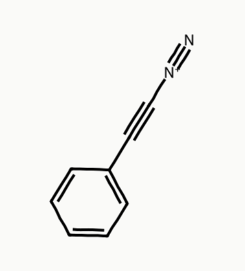 N#[N+]C#Cc1ccccc1